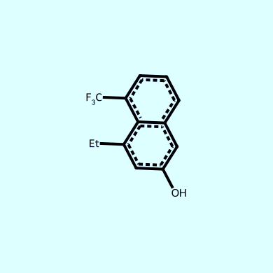 CCc1cc(O)cc2cccc(C(F)(F)F)c12